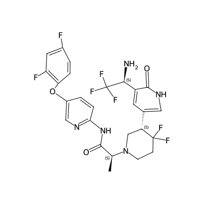 C[C@@H](C(=O)Nc1ccc(Oc2ccc(F)cc2F)cn1)N1CCC(F)(F)[C@@H](c2c[nH]c(=O)c([C@H](N)C(F)(F)F)c2)C1